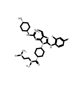 C=C(/N=C1\C(=C/N)N=C(Nc2ccc(F)cc2F)N1[C@H]1CC[C@@H](C(=O)N(C)CCN(C)CC)CC1)N[C@H]1CC[C@H](O)CC1